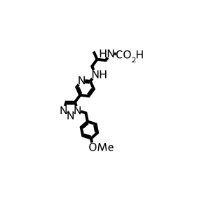 COc1ccc(Cn2nncc2-c2ccc(NCC(C)CNC(=O)O)nc2)cc1